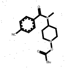 CN(C(=O)c1ccc(C#N)cc1)C1CCN(OC(=O)C(C)(C)C)CC1